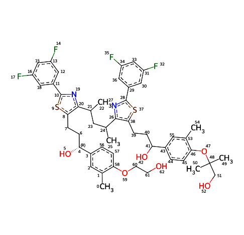 Cc1cc([C@H](O)CCc2sc(-c3cc(F)cc(F)c3)nc2C(C)CC(C)c2nc(-c3cc(F)cc(F)c3)sc2CCC(O)c2ccc(OC(C)(C)CO)c(C)c2)ccc1OCCO